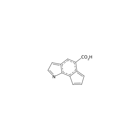 O=C(O)c1cc2c(c3c1=CC=C3)N=CC=2